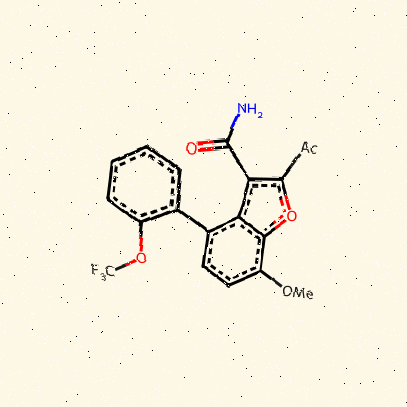 COc1ccc(-c2ccccc2OC(F)(F)F)c2c(C(N)=O)c(C(C)=O)oc12